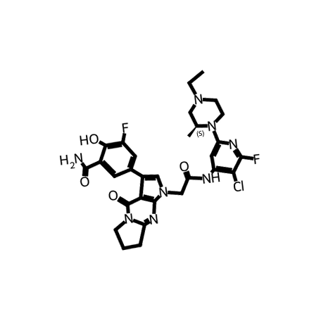 CCN1CCN(c2cc(NC(=O)Cn3cc(-c4cc(F)c(O)c(C(N)=O)c4)c4c(=O)n5c(nc43)CCC5)c(Cl)c(F)n2)[C@@H](C)C1